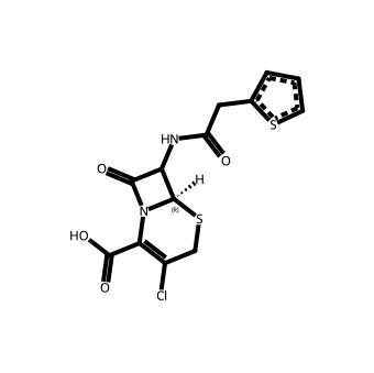 O=C(Cc1cccs1)NC1C(=O)N2C(C(=O)O)=C(Cl)CS[C@H]12